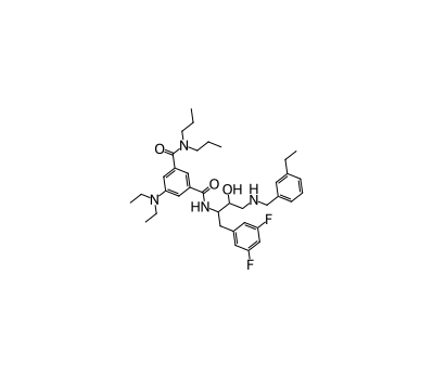 CCCN(CCC)C(=O)c1cc(C(=O)NC(Cc2cc(F)cc(F)c2)C(O)CNCc2cccc(CC)c2)cc(N(CC)CC)c1